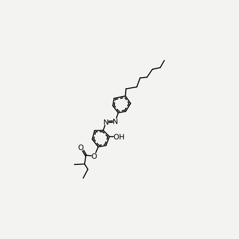 CCCCCCCc1ccc(N=Nc2ccc(OC(=O)C(C)CC)cc2O)cc1